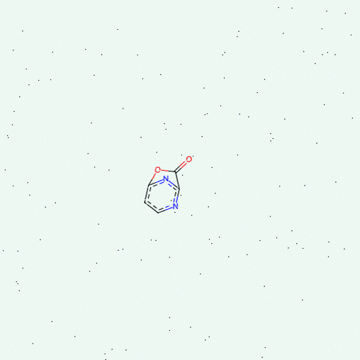 O=C1Oc2ccnc1n2